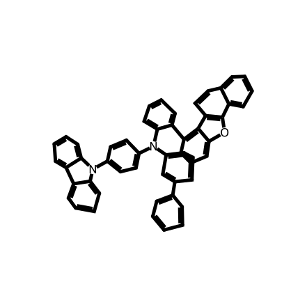 c1ccc(-c2cccc(N(c3ccc(-n4c5ccccc5c5ccccc54)cc3)c3ccccc3-c3cccc4oc5c6ccccc6ccc5c34)c2)cc1